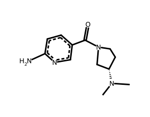 CN(C)[C@H]1CCN(C(=O)c2ccc(N)nc2)C1